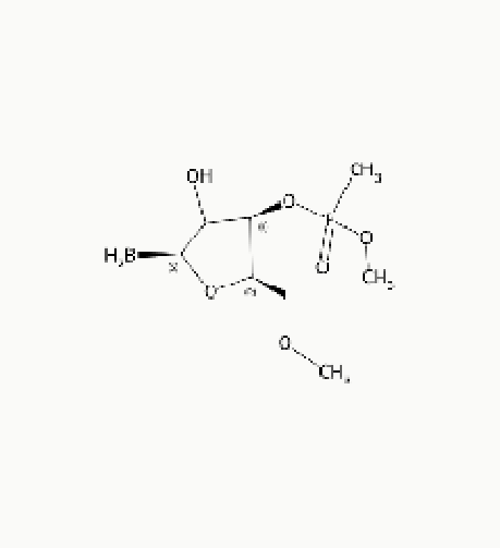 B[C@@H]1O[C@H](COC)[C@H](OP(C)(=O)OC)C1O